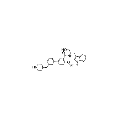 CC(C)Oc1ccc(-c2cccc(CN3CCNCC3)c2)cc1C(=O)N[C@@H](CO)Cc1c[nH]c2ccccc12